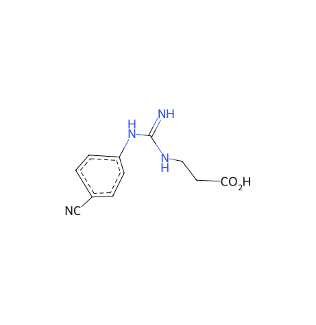 N#Cc1ccc(NC(=N)NCCC(=O)O)cc1